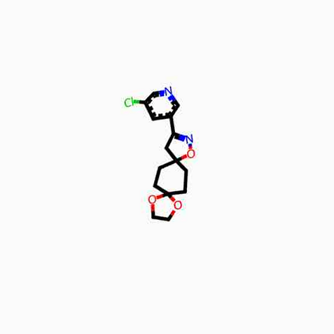 Clc1cncc(C2=NOC3(CCC4(CC3)OCCO4)C2)c1